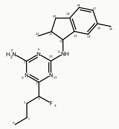 CCCC(F)c1nc(N)nc(NC2c3cc(C)ccc3CC2C)n1